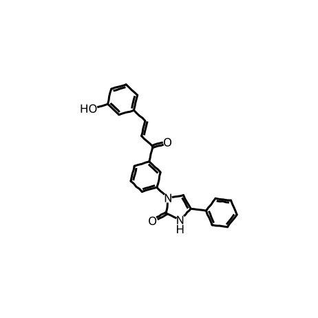 O=C(C=Cc1cccc(O)c1)c1cccc(-n2cc(-c3ccccc3)[nH]c2=O)c1